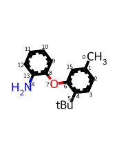 Cc1ccc(C(C)(C)C)c(Oc2ccccc2N)c1